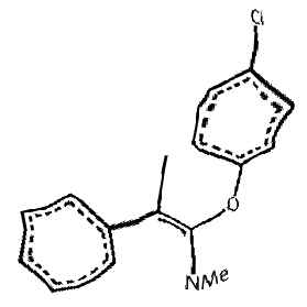 CNC(Oc1ccc(Cl)cc1)=C(C)c1ccccc1